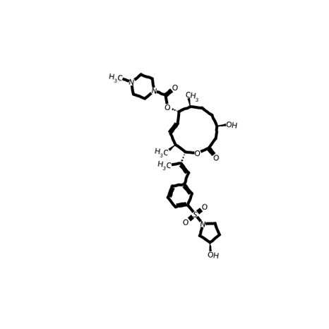 C/C(=C\c1cccc(S(=O)(=O)N2CC[C@@H](O)C2)c1)[C@H]1OC(=O)C[C@H](O)CC[C@H](C)[C@@H](OC(=O)N2CCN(C)CC2)/C=C/[C@@H]1C